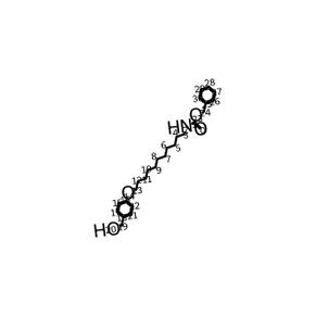 O=C(NCCCCCCCCCCCOc1ccc(CO)cc1)OCc1ccccc1